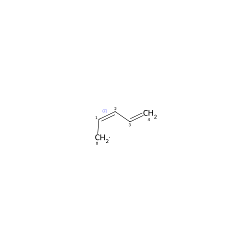 [CH2]/C=C\C=C